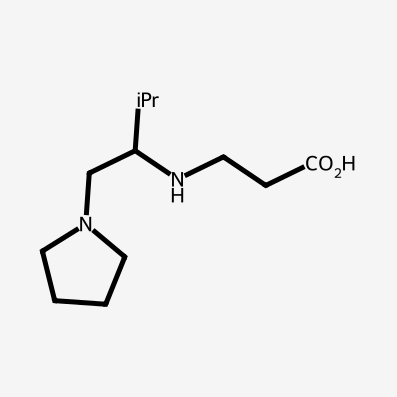 CC(C)C(CN1CCCC1)NCCC(=O)O